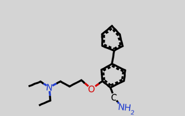 CCN(CC)CCCOc1cc(-c2ccccc2)ccc1CN